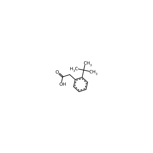 CC(C)(C)c1ccccc1CC(=O)O